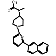 CN(C(=O)O)C1CCN(c2cccc(-c3ccc4ccccc4c3)n2)CC1